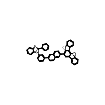 c1ccc(-c2nc3ccccc3n2-c2cccc(-c3ccc4cc(-c5cc6c7ccccc7oc6c6c5oc5ccccc56)ccc4c3)c2)cc1